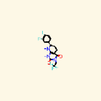 O=c1[nH]c2c(c(=O)n1CC(F)(F)F)CC[C@H](c1ccc(F)c(F)c1)N2